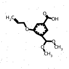 C=CCOc1cc(C(=O)O)cc(C(OC)OC)c1